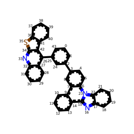 c1cc(-c2ccc3c(c2)c2ccccc2c2nc4ccccc4n32)cc(-c2c3ccccc3nc3sc4ccccc4c23)c1